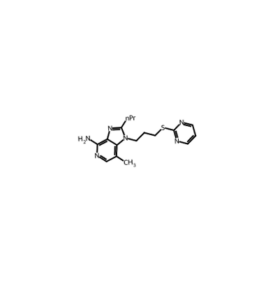 CCCc1nc2c(N)ncc(C)c2n1CCCSc1ncccn1